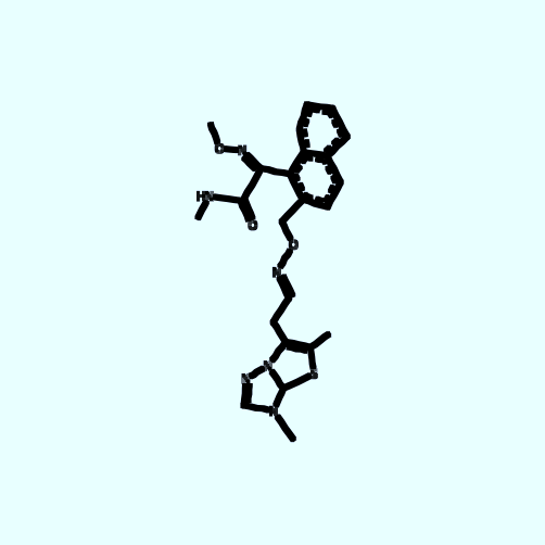 CNC(=O)C(=NOC)c1c(CON=CCC2=C(C)SC3N(C)C=NN23)ccc2ccccc12